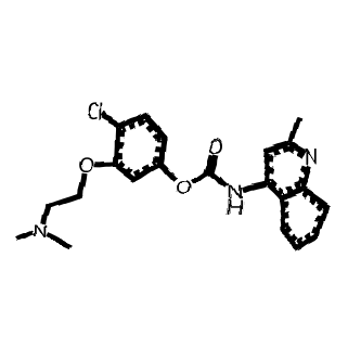 Cc1cc(NC(=O)Oc2ccc(Cl)c(OCCN(C)C)c2)c2ccccc2n1